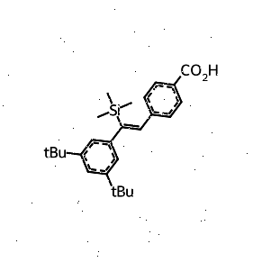 CC(C)(C)c1cc(/C(=C/c2ccc(C(=O)O)cc2)[Si](C)(C)C)cc(C(C)(C)C)c1